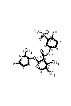 Cc1nc(F)ccc1Oc1ncc(C(F)(F)F)c(C)c1C(=O)Nc1ccc(F)c([S@](C)(=N)=O)c1